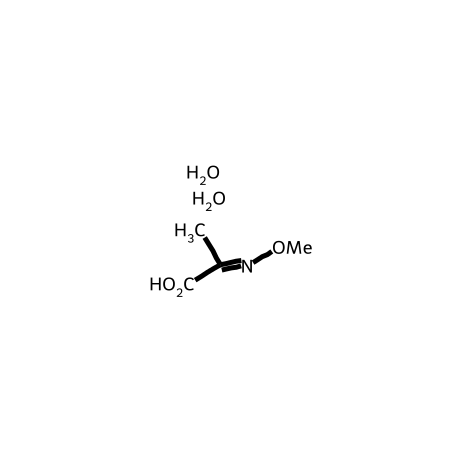 CON=C(C)C(=O)O.O.O